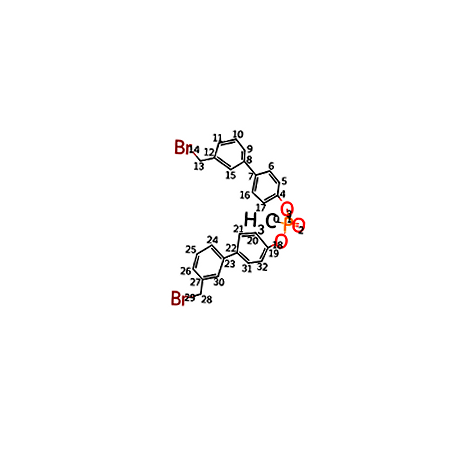 CP(=O)(Oc1ccc(-c2cccc(CBr)c2)cc1)Oc1ccc(-c2cccc(CBr)c2)cc1